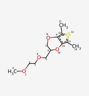 COCCOCC1COc2c(C)sc(C)c2O1